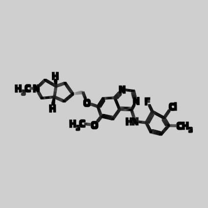 COc1cc2c(Nc3ccc(C)c(Cl)c3F)ncnc2cc1OC[C@@H]1C[C@@H]2CN(C)C[C@@H]2C1